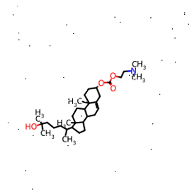 CC(CCCC(C)(C)O)C1CCC2C3CC=C4CC(OC(=O)OCCN(C)C)CCC4(C)C3CCC12C